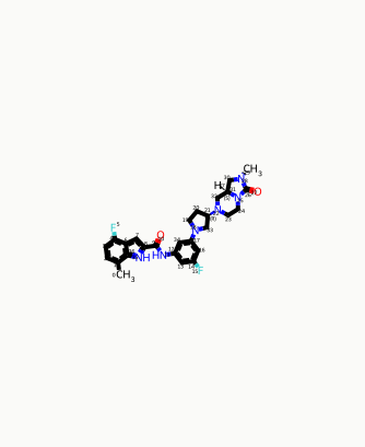 Cc1ccc(F)c2cc(C(=O)Nc3cc(F)cc(N4CC[C@@H](N5CCN6C(=O)N(C)C[C@@H]6C5)C4)c3)[nH]c12